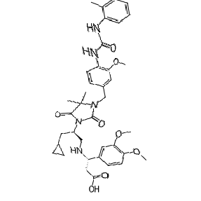 COc1cc(CN2C(=O)N([C@@H](CN[C@@H](CC(=O)O)c3ccc(OC)c(OC)c3)CC3CC3)C(=O)C2(C)C)ccc1NC(=O)Nc1ccccc1C